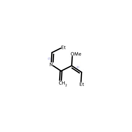 C=C(/N=C\CC)/C(=C\CC)OC